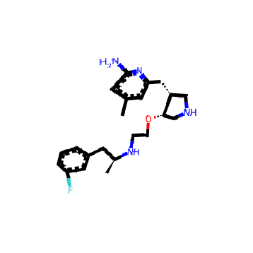 Cc1cc(N)nc(C[C@@H]2CNC[C@@H]2OCCN[C@@H](C)Cc2cccc(F)c2)c1